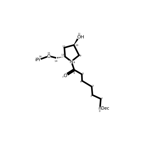 CCCCCCCCCCCCCCCC(=O)N1C[C@H](O)C[C@H]1COC(C)C